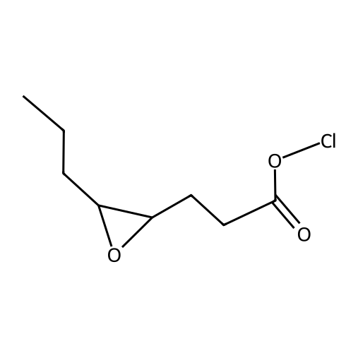 CCCC1OC1CCC(=O)OCl